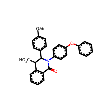 COc1ccc(C2C(C(=O)O)c3ccccc3C(=O)N2c2ccc(Oc3ccccc3)cc2)cc1